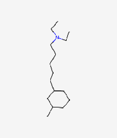 CCN(CC)CCCCCC1CCCC(C)C1